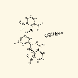 Cc1cc(C=Nc2c(C(C)C)cccc2C(C)C)nc(C=Nc2c(C(C)C)cccc2C(C)C)c1.[Cl-].[Cl-].[Cl-].[Nd+3]